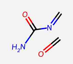 C=NC(N)=O.C=O